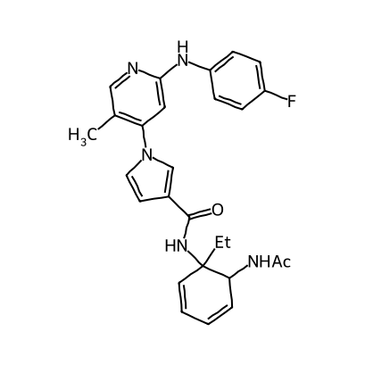 CCC1(NC(=O)c2ccn(-c3cc(Nc4ccc(F)cc4)ncc3C)c2)C=CC=CC1NC(C)=O